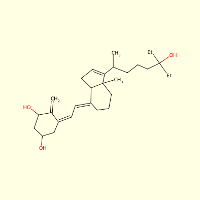 C=C1/C(=C\C=C2/CCCC3(C)C(C(C)CCCC(O)(CC)CC)=CCC23)CC(O)CC1O